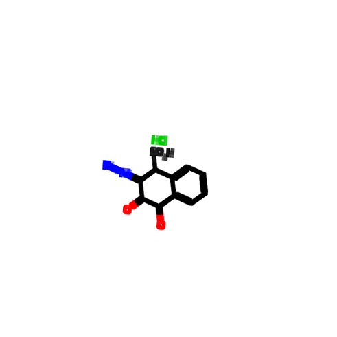 Cl.[N-]=[N+]=C1C(=O)C(=O)c2ccccc2C1S(=O)(=O)O